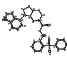 O=C(CNc1ccccc1S(=O)(=O)c1ccccc1)N1CCC2CCN(c3ncnc4[nH]ccc34)C2C1